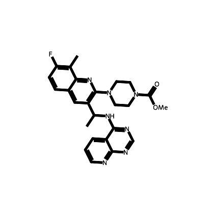 COC(=O)N1CCN(c2nc3c(C)c(F)ccc3cc2C(C)Nc2ncnc3ncccc23)CC1